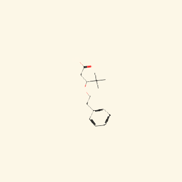 CC(C)(C)C(CC(=O)O)OCCc1ccccc1